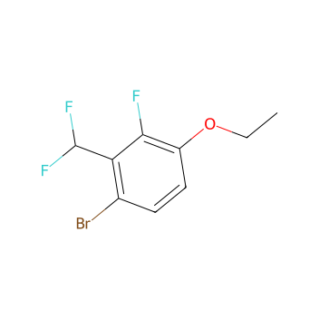 CCOc1ccc(Br)c(C(F)F)c1F